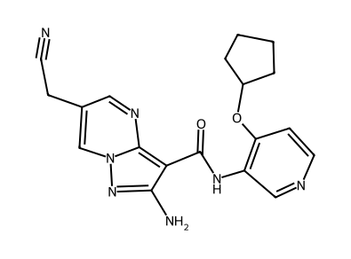 N#CCc1cnc2c(C(=O)Nc3cnccc3OC3CCCC3)c(N)nn2c1